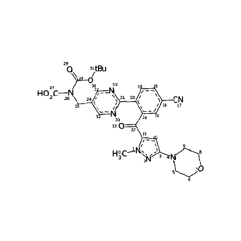 Cn1nc(N2CCOCC2)cc1C(=O)c1cc(C#N)ccc1-c1ncc(CN(C(=O)O)C(=O)OC(C)(C)C)cn1